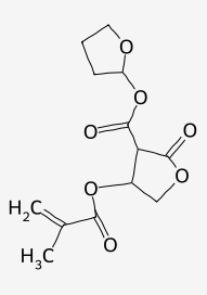 C=C(C)C(=O)OC1COC(=O)C1C(=O)OC1CCCO1